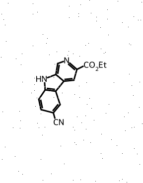 CCOC(=O)c1cc2c(cn1)[nH]c1ccc(C#N)cc12